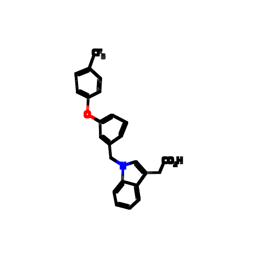 O=C(O)Cc1cn(Cc2cccc(Oc3ccc(C(F)(F)F)cc3)c2)c2ccccc12